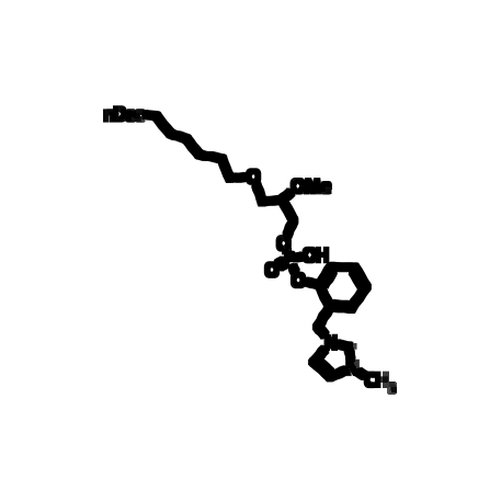 CCCCCCCCCCCCCCCCOCC(COP(=O)(O)Oc1ccccc1CN1[CH]N(C)C=C1)OC